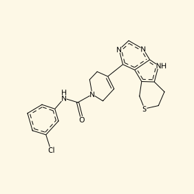 O=C(Nc1cccc(Cl)c1)N1CC=C(c2ncnc3[nH]c4c(c23)CSCC4)CC1